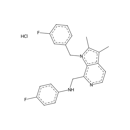 Cc1c(C)n(Cc2cccc(F)c2)c2c(CNc3ccc(F)cc3)nccc12.Cl